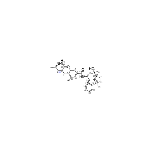 CC(=N)/C=C(/Cc1ccc(C(=O)NCC(=O)N2[C@@H](C(C)(C)O)CC[C@@]2(C)c2ccccc2)cc1C)C(N)=O